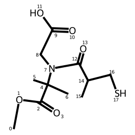 COC(=O)C(C)(C)N(CC(=O)O)C(=O)C(C)CS